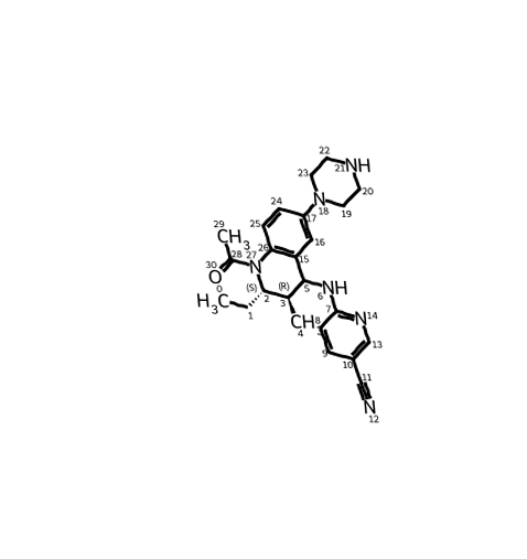 CC[C@H]1[C@H](C)C(Nc2ccc(C#N)cn2)c2cc(N3CCNCC3)ccc2N1C(C)=O